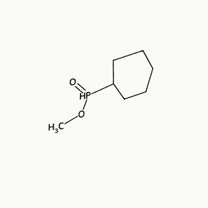 CO[PH](=O)C1CCCCC1